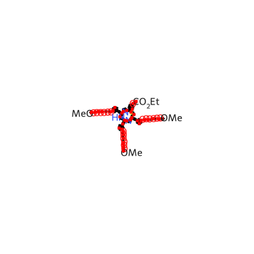 CCOC(=O)COc1ccc(-c2c3nc(c(C#Cc4cccc(OCOCOCOCOCOCOC)c4)c4ccc([nH]4)c(C#Cc4cccc(OCOCOCOCOCOCOC)c4)c4nc(c(C#Cc5cccc(OCOCOCOCOCOCOC)c5)c5ccc2s5)C=C4)C=C3)cc1